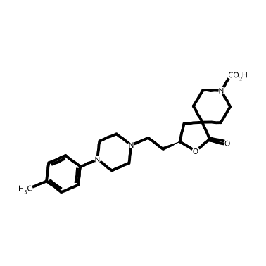 Cc1ccc(N2CCN(CC[C@H]3CC4(CCN(C(=O)O)CC4)C(=O)O3)CC2)cc1